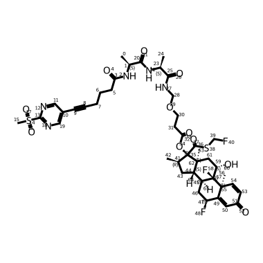 C[C@H](NC(=O)CCCC#Cc1cnc(S(C)(=O)=O)nc1)C(=O)N[C@@H](C)C(=O)NCOCCC(=O)O[C@]1(C(=O)SCF)[C@H](C)C[C@H]2[C@@H]3C[C@H](F)C4=CC(=O)C=C[C@]4(C)[C@@]3(F)[C@@H](O)C[C@@]21C